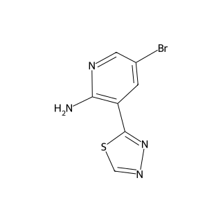 Nc1ncc(Br)cc1-c1nncs1